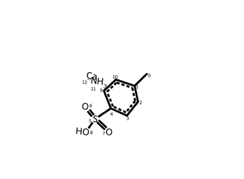 Cc1ccc(S(=O)(=O)O)cc1.N.[Ca]